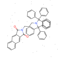 O=C1c2cc3ccccc3cc2C(=O)N1CCCN([Si](c1ccccc1)(c1ccccc1)c1ccccc1)[Si](c1ccccc1)(c1ccccc1)c1ccccc1